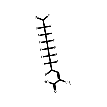 CC(=CC(F)C(F)(F)C(F)(F)C(F)(F)C(F)(F)C(F)(F)C(F)(F)C(F)F)C(=O)O